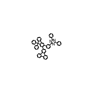 c1ccc(-c2nc(-c3ccccc3)nc(-c3cccc(-c4cc5c(cc4-c4ccc6c7ccccc7c7ccccc7c6c4)C(c4ccccc4)(c4ccccc4)c4ccccc4-5)c3)n2)cc1